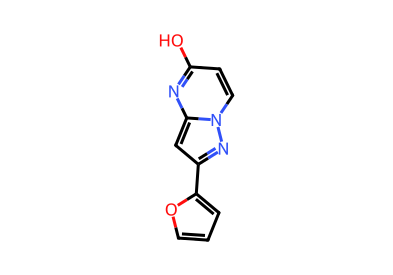 Oc1ccn2nc(-c3ccco3)cc2n1